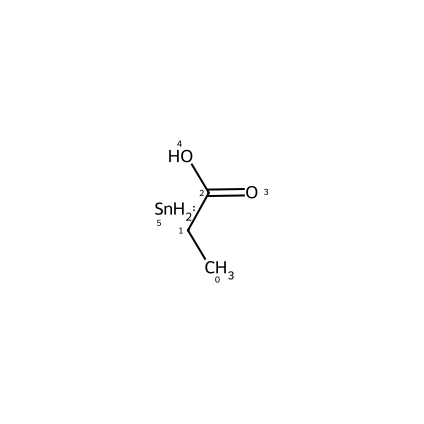 CCC(=O)O.[SnH2]